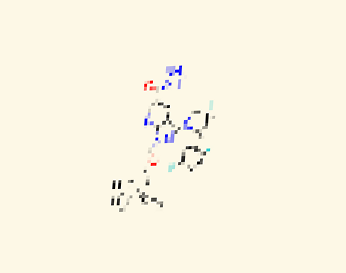 C[Si](C)(C)CCOCn1nc(N2C[C@@H](F)C[C@@H]2c2cc(F)ccc2F)c2cc(C(=O)NN)cnc21